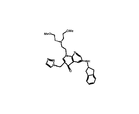 COCCN(CCOC)CCn1cc(Cn2ccnn2)c(=O)c2cc(NC3Cc4ccccc4C3)cnc21